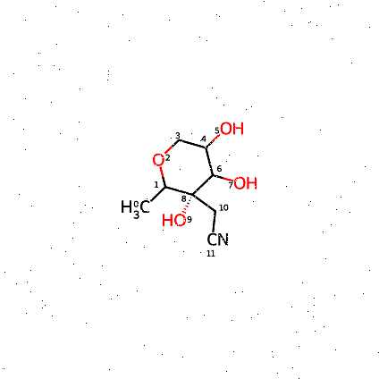 CC1OCC(O)C(O)[C@@]1(O)CC#N